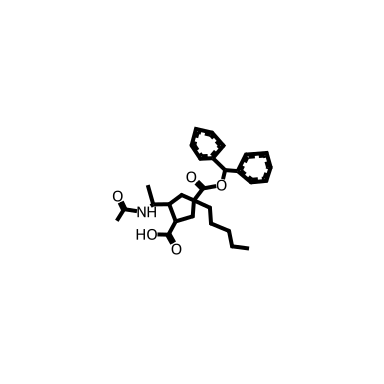 CCCCCC1(C(=O)OC(c2ccccc2)c2ccccc2)CC(C(=O)O)C(C(C)NC(C)=O)C1